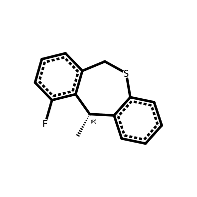 C[C@H]1c2ccccc2SCc2cccc(F)c21